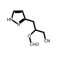 N#CCC(Cc1cc[nH]n1)OC=O